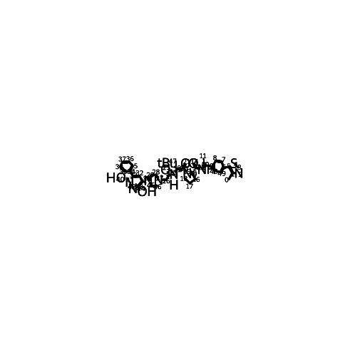 Cc1ncsc1-c1ccc([C@H](C)NC(=O)[C@@H]2CCCN2C(=O)[C@@H](NC(=O)CN2CCN(c3cc(-c4ccccc4O)nnc3O)CC2)C(C)(C)C)cc1